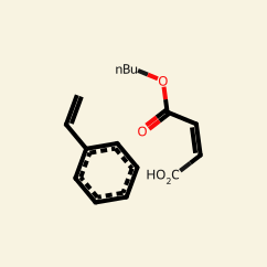 C=Cc1ccccc1.CCCCOC(=O)/C=C\C(=O)O